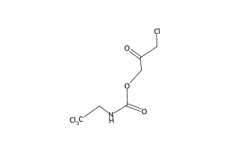 O=C(CCl)COC(=O)NCC(Cl)(Cl)Cl